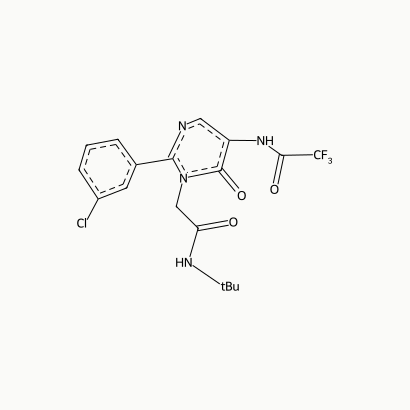 CC(C)(C)NC(=O)Cn1c(-c2cccc(Cl)c2)ncc(NC(=O)C(F)(F)F)c1=O